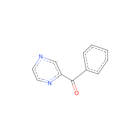 O=C(c1ccccc1)c1[c]nccn1